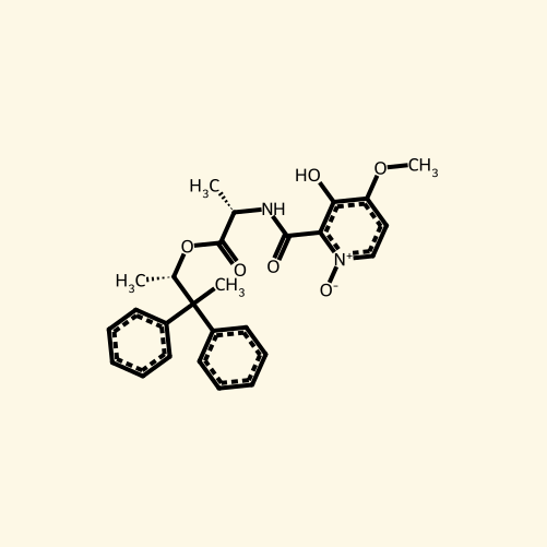 COc1cc[n+]([O-])c(C(=O)N[C@@H](C)C(=O)O[C@@H](C)C(C)(c2ccccc2)c2ccccc2)c1O